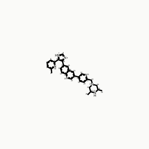 Cc1cccc(-c2[nH]cnc2-c2ccc3ncc(-c4ccc(CN5CC(C)NC(C)C5)nc4)cc3c2)n1